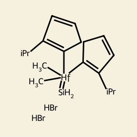 Br.Br.CC(C)C1=[C]([Hf]([CH3])([CH3])(=[SiH2])[C]2=C(C(C)C)C=CC2)CC=C1